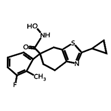 Cc1c(F)cccc1C1(C(=O)NO)CCc2nc(C3CC3)sc2C1